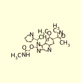 CNC(=O)COc1nc2cnc3cc(-c4c(C)noc4C)c(OC)cc3c2n1[C@H](C)c1ccccn1